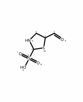 O=CC1CNC(S(=O)(=O)O)S1